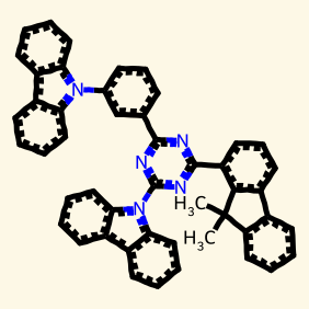 CC1(C)c2ccccc2-c2cccc(-c3nc(-c4cccc(-n5c6ccccc6c6ccccc65)c4)nc(-n4c5ccccc5c5ccccc54)n3)c21